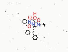 CC(C)N1C[C@H](CC=C(c2ccccc2)c2ccccc2)n2c(OCc3ccccc3)nc(=O)c(O)c2C1=O